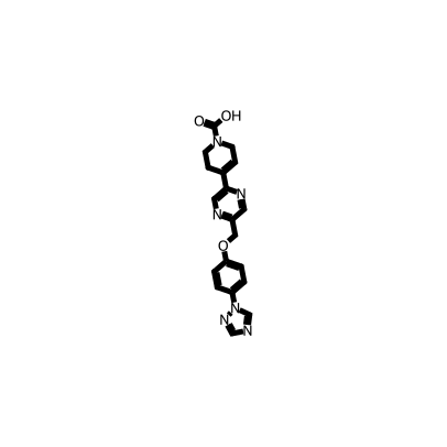 O=C(O)N1CC=C(c2cnc(COc3ccc(-n4cncn4)cc3)cn2)CC1